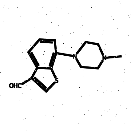 CN1CCN(c2cccc3c(C=O)csc23)CC1